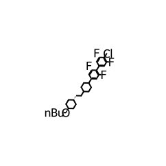 CCCCO[C@H]1CC[C@H](CCC2CCC(c3cc(F)c(-c4cc(F)c(Cl)c(F)c4)c(F)c3)CC2)CC1